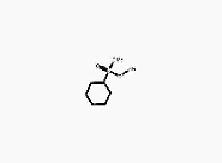 CCCOP(=O)(OC)C1CCCCC1